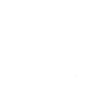 c1ccc2c(c#1)C1(c3ccccc3-c3ccccc31)c1ccc3c(c1-2)Oc1cccc(N(c2ccccc2)c2ccc4sc5ccccc5c4c2)c1O3